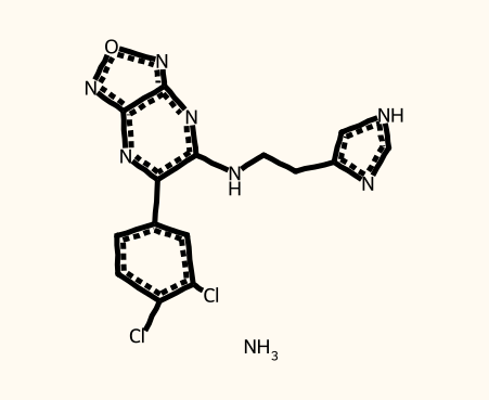 Clc1ccc(-c2nc3nonc3nc2NCCc2c[nH]cn2)cc1Cl.N